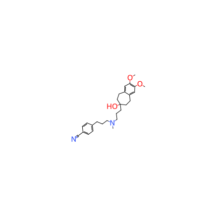 COc1cc2c(cc1OC)CCC(O)(CCCN(C)CCCc1ccc(C#N)cc1)CC2